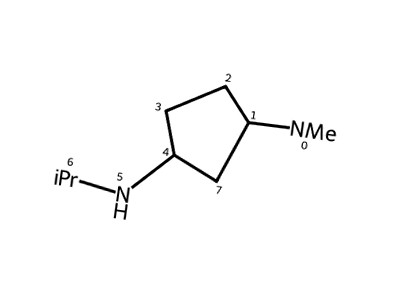 CNC1CCC(NC(C)C)C1